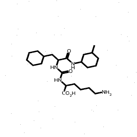 CC1CCCC(NC(=O)C(CC2CCCCC2)NC(=O)NC(CCCCN)C(=O)O)C1